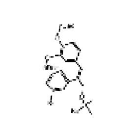 CCCCCCCCCCOc1ccc(C=C(CO[Si](C)(C)C(C)(C)C)c2cccc(Br)c2)cc1OCCCCCCCCCC